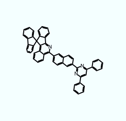 c1ccc(-c2cc(-c3ccccc3)nc(-c3ccc4cc(-c5nc6c(c7ccccc57)C5(c7ccccc7-c7ccccc75)c5ccccc5-6)ccc4c3)n2)cc1